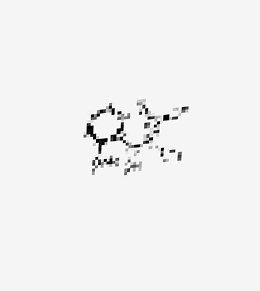 COc1ccccc1[C@@H](O)[C@@H](C)[SH](=O)=O